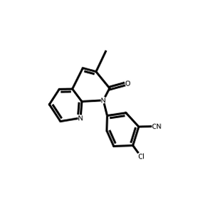 Cc1cc2cccnc2n(-c2ccc(Cl)c(C#N)c2)c1=O